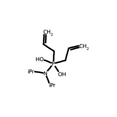 C=CCP(O)(O)(CC=C)N(C(C)C)C(C)C